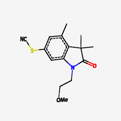 COCCN1C(=O)C(C)(C)c2c(C)cc(SC#N)cc21